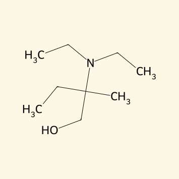 CCN(CC)C(C)(CC)CO